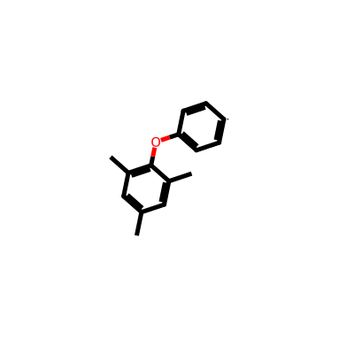 Cc1cc(C)c(Oc2cc[c]cc2)c(C)c1